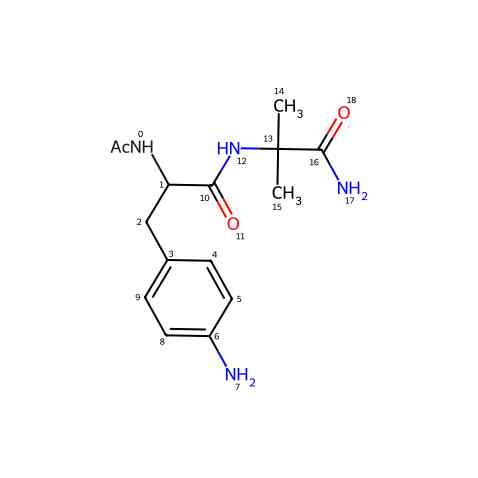 CC(=O)NC(Cc1ccc(N)cc1)C(=O)NC(C)(C)C(N)=O